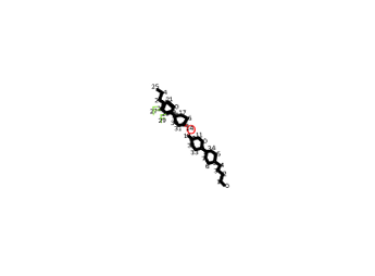 CCCCCC1CCC(C2CCC(COC3CCC(c4ccc(CCC)c(F)c4F)CC3)CC2)CC1